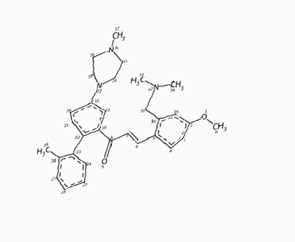 COc1ccc(/C=C/C(=O)c2cc(N3CCN(C)CC3)ccc2-c2ccccc2C)c(CN(C)C)c1